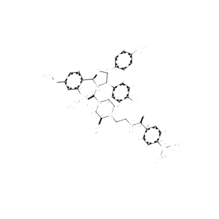 COc1ccc(C2=N[C@@H](c3ccc(O)cc3)[C@@H](c3ccc(Cl)cc3)N2C(=O)N2CCN(CCNC(=O)c3ccc(B(O)O)cc3)C(=O)C2)c(OC)c1